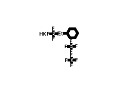 CCC1CCCCC1.F[B-](F)(F)F.F[B-](F)(F)F.F[B-](F)(F)F.[KH]